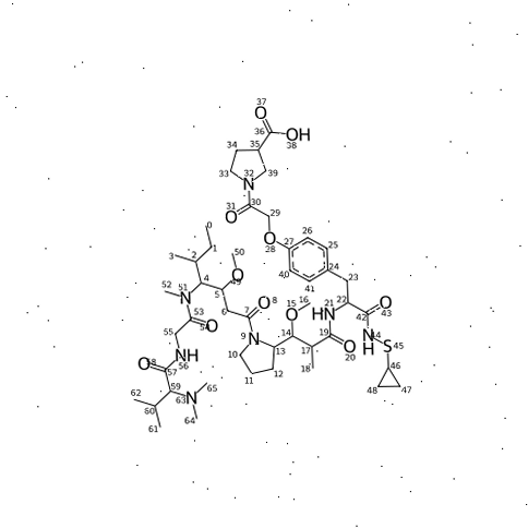 CCC(C)C(C(CC(=O)N1CCCC1C(OC)C(C)C(=O)NC(Cc1ccc(OCC(=O)N2CCC(C(=O)O)C2)cc1)C(=O)NSC1CC1)OC)N(C)C(=O)CNC(=O)C(C(C)C)N(C)C